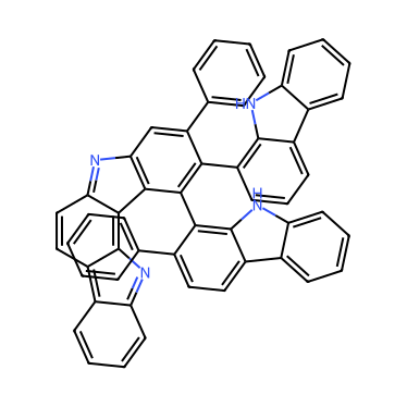 c1ccc(-c2cc3c(c(-c4c(-c5ccccc5)ccc5c4[nH]c4ccccc45)c2-c2cccc4c2[nH]c2ccccc24)-c2c4c(ccc2=N3)=c2ccccc2=N4)cc1